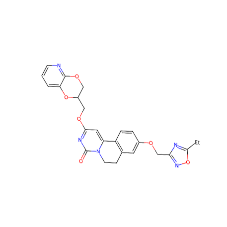 CCc1nc(COc2ccc3c(c2)CCn2c-3cc(OCC3COc4ncccc4O3)nc2=O)no1